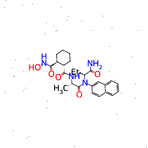 CC[C@@H](C(N)=O)N(C(=O)[C@H](C)NC(=O)[C@H]1CCCC[C@@H]1C(=O)NO)c1ccc2ccccc2c1